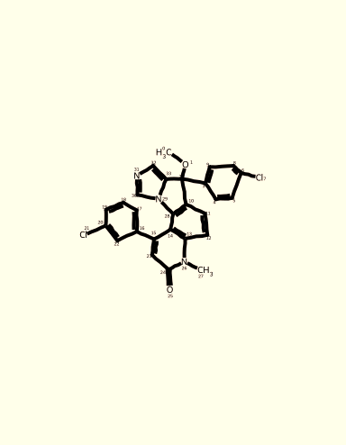 COC1(c2ccc(Cl)cc2)c2ccc3c(c(-c4cccc(Cl)c4)cc(=O)n3C)c2-n2cncc21